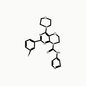 O=C(Nc1ccncc1)N1CCOc2c(N3CCOCC3)nc(-c3cccc(F)c3)nc21